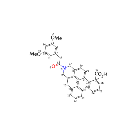 COc1cc(CC(=O)N(CCCc2ccccc2)Cc2ccc(-c3ccccc3C(=O)O)cc2)cc(OC)c1